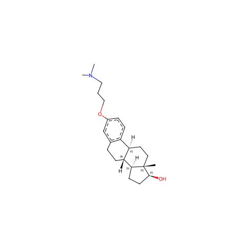 CN(C)CCCOc1ccc2c(c1)CC[C@@H]1[C@@H]2CC[C@]2(C)[C@@H](O)CC[C@@H]12